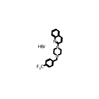 Br.FC(F)(F)c1ccc(CN2CCN(c3ccc4ccccc4n3)CC2)cc1